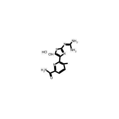 Cc1ccc(C(N)=O)nc1-c1csc(N=C(N)N)n1.Cl.Cl